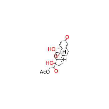 CC(=O)OCC(=O)[C@@]1(O)CC[C@H]2[C@@H]3CCC4=CC(=O)C=C[C@]4(C)[C@@]3(Br)[C@@H](O)C[C@@]21C